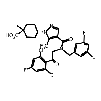 C[C@]1(C(=O)O)CC[C@H](n2ncc(C(=O)N(CC(=O)c3c(Cl)cc(F)cc3Cl)Cc3cc(F)cc(F)c3)c2C(F)(F)F)CC1